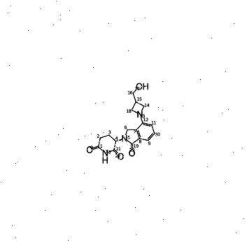 O=C1CCC(N2Cc3c(cccc3N3CC(CO)C3)C2=O)C(=O)N1